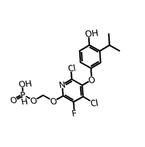 CC(C)c1cc(Oc2c(Cl)nc(OCO[PH](=O)O)c(F)c2Cl)ccc1O